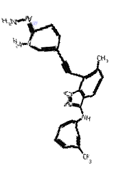 Cc1ccc2c(Nc3cccc(C(F)(F)F)c3)noc2c1C#Cc1cc/c(=N/N)n(N)c1